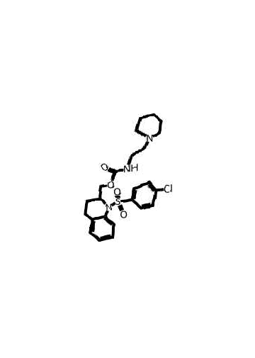 O=C(NCCN1CCCCC1)OCC1CCc2ccccc2N1S(=O)(=O)c1ccc(Cl)cc1